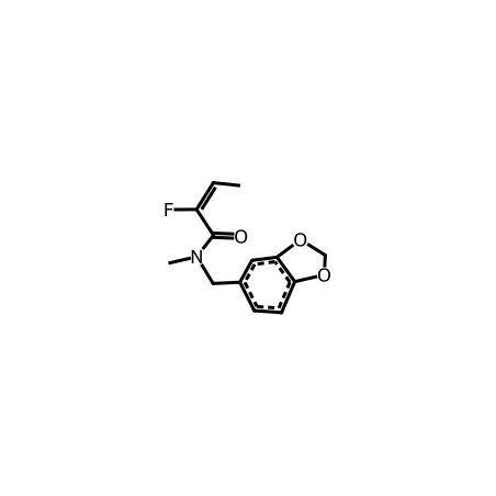 C/C=C(/F)C(=O)N(C)Cc1ccc2c(c1)OCO2